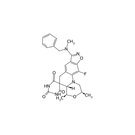 C[C@@H]1CN2c3c(cc4c(N(C)Cc5ccccc5)noc4c3F)CC3(C(=O)NC(=O)NC3=O)[C@H]2[C@H](C)O1